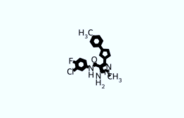 Cc1ccc(C2CCC(c3nn(C)c(N)c3C(=O)Nc3ccc(F)c(Cl)c3)C2)cc1